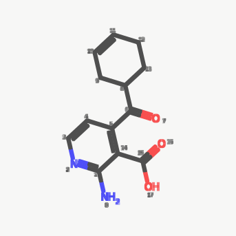 Nc1nccc(C(=O)C2CC=CCC2)c1C(=O)O